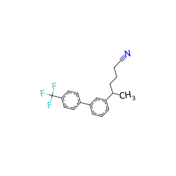 CC(CCCC#N)c1cccc(-c2ccc(C(F)(F)F)cc2)c1